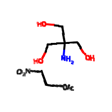 CC(=O)OCC[N+](=O)[O-].NC(CO)(CO)CO